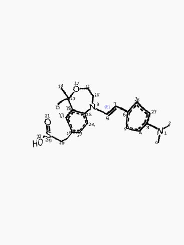 CN(C)c1ccc(/C=C/N2CCOC(C)(C)c3cc(CS(=O)O)ccc32)cc1